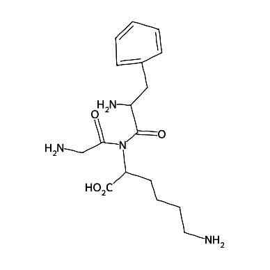 NCCCCC(C(=O)O)N(C(=O)CN)C(=O)C(N)Cc1ccccc1